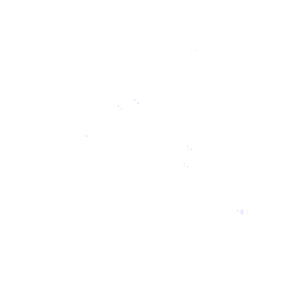 Nc1ccc(N=Nc2ccc(N=Nc3ccc4ccccc4c3S(=O)(=O)O)c3cc(S(=O)(=O)O)ccc23)c2cccc(S(=O)(=O)O)c12